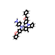 Cc1cc(-c2cc3c(cc2Nc2ccc(N(C)C)cc2)oc2ccccc23)c2c3c1c1ccccc1n3-c1cc3cc(-c4ccccc4)oc3cc1B2